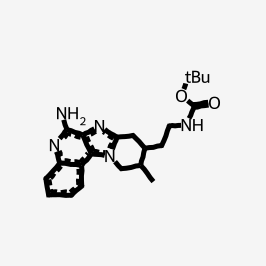 CC1Cn2c(nc3c(N)nc4ccccc4c32)CC1CCNC(=O)OC(C)(C)C